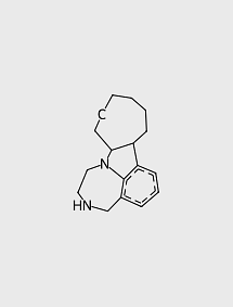 c1cc2c3c(c1)C1CCCCCCC1N3CCNC2